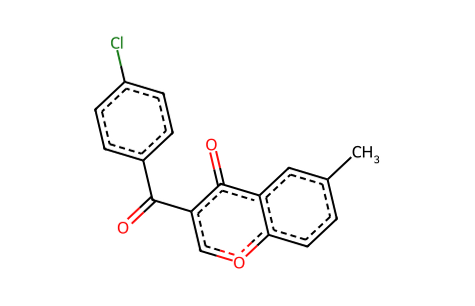 Cc1ccc2occ(C(=O)c3ccc(Cl)cc3)c(=O)c2c1